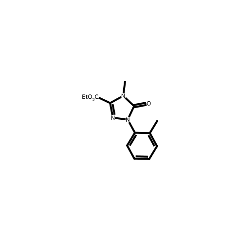 CCOC(=O)c1nn(-c2ccccc2C)c(=O)n1C